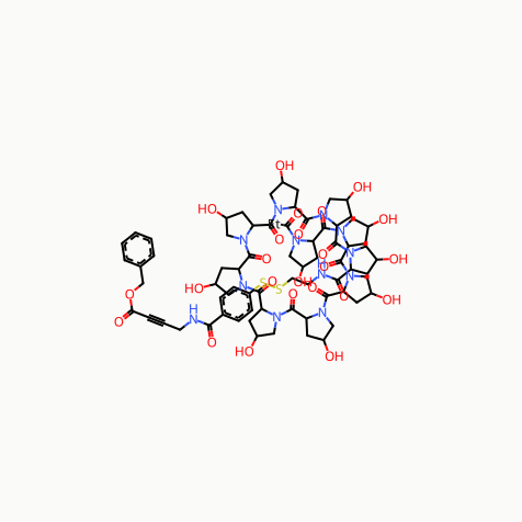 CCC(=O)N1CC(O)CC1C(=O)N1CC(O)CC1C(=O)N1CC(O)CC1C(=O)N1CC(O)CC1C(=O)N1CC(O)CC1C(=O)N1CC(O)CC1C(=O)N1CC(O)CC1C(=O)N1CC(O)CC1C(=O)N1CC(O)CC1C(=O)N1CC(O)CC1C(=O)NCCSSc1ccc(C(=O)NCC#CC(=O)OCc2ccccc2)cc1